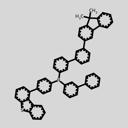 CC1(C)c2ccccc2-c2cc(-c3cccc(-c4cccc(N(c5ccc(-c6cccc7sc8ccccc8c67)cc5)c5cccc(-c6ccccc6)c5)c4)c3)ccc21